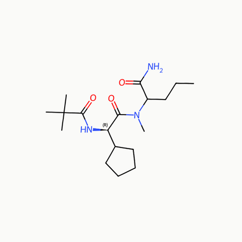 CCCC(C(N)=O)N(C)C(=O)[C@H](NC(=O)C(C)(C)C)C1CCCC1